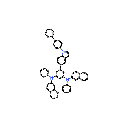 c1ccc(-c2ccc(-n3ccc4cc(-c5cc(N(c6ccccc6)c6ccc7ccccc7c6)cc(N(c6ccccc6)c6ccc7ccccc7c6)c5)ccc43)cc2)cc1